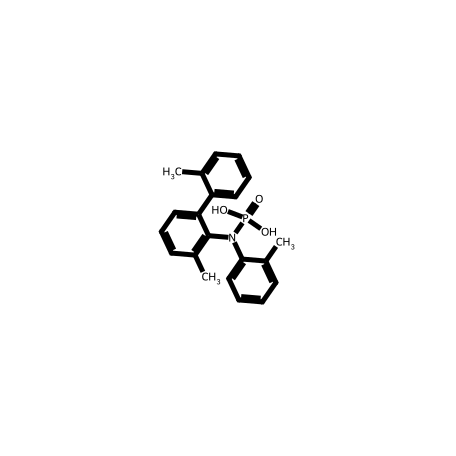 Cc1ccccc1-c1cccc(C)c1N(c1ccccc1C)P(=O)(O)O